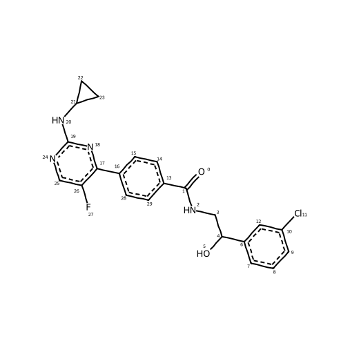 O=C(NCC(O)c1cccc(Cl)c1)c1ccc(-c2nc(NC3CC3)ncc2F)cc1